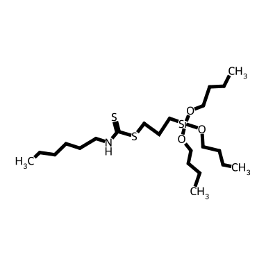 CCCCCCNC(=S)SCCC[Si](OCCCC)(OCCCC)OCCCC